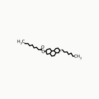 CCCCCCCCC(=O)O[C@H]1CCC2C(CCC3C[C@@H](CCCCCCC)CCC32)C1